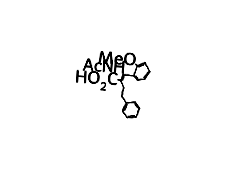 COc1ccccc1/C(NC(C)=O)=C(\CCc1ccccc1)C(=O)O